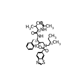 CC[C@H](C)CN(C[C@@H](O)[C@H](Cc1ccccc1)NC(=O)[C@@H](NC(C)=O)C(C)C)S(=O)(=O)c1ccc2ncsc2c1